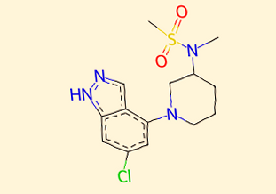 CN(C1CCCN(c2cc(Cl)cc3[nH]ncc23)C1)S(C)(=O)=O